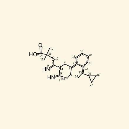 CC/C(CN(C(=N)Br)C(=N)SC(C)(C)C(=O)O)=c1/cccc/c1=C(/C)C1CC1